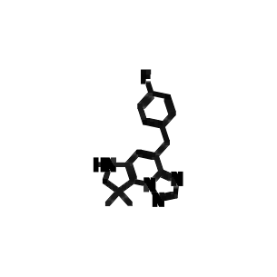 CC1(C)CNc2cc(Cc3ccc(F)cc3)c3ncnn3c21